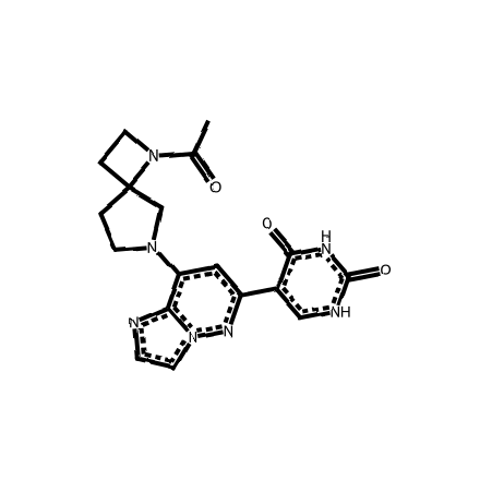 CC(=O)N1CCC12CCN(c1cc(-c3c[nH]c(=O)[nH]c3=O)nn3ccnc13)C2